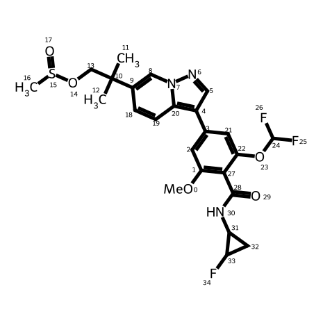 COc1cc(-c2cnn3cc(C(C)(C)COS(C)=O)ccc23)cc(OC(F)F)c1C(=O)NC1CC1F